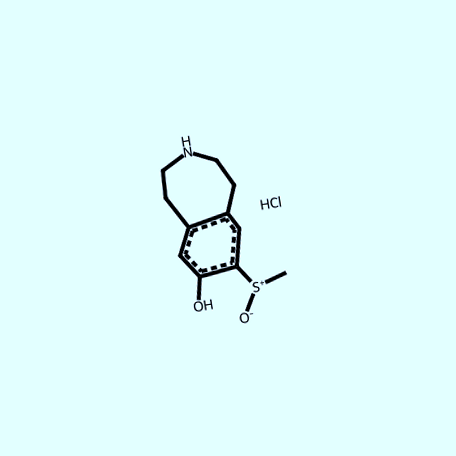 C[S+]([O-])c1cc2c(cc1O)CCNCC2.Cl